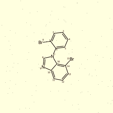 Brc1ccccc1-n1cnc2cccc(Br)c21